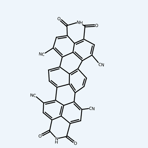 N#Cc1cc2c3c(cc(C#N)c4c5ccc6c7c(C#N)cc8c9c(cc(C#N)c(c%10ccc(c1c34)c5c%106)c97)C(=O)NC8=O)C(=O)NC2=O